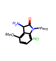 CCCCCN1C(=O)C(N)c2c(OC)cccc21.Cl